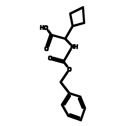 O=C(NC(C(=O)O)C1CCC1)OCc1ccccc1